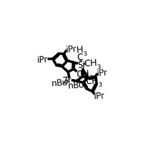 CCC[CH2][Zr]1([CH2]CCC)[CH]2C(C)=C(c3c(C(C)C)cc(C(C)C)cc32)[Si](C)(C)C2=C(C)[CH]1c1cc(C(C)C)cc(C(C)C)c12